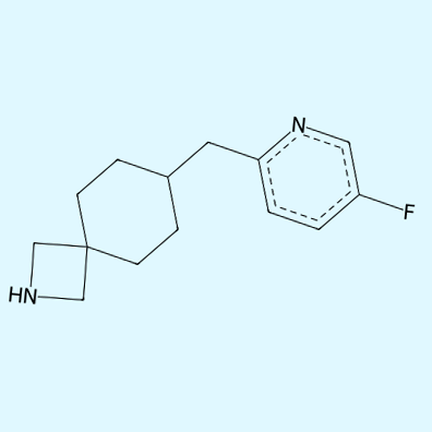 Fc1ccc(CC2CCC3(CC2)CNC3)nc1